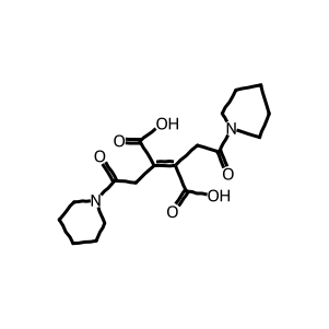 O=C(O)/C(CC(=O)N1CCCCC1)=C(\CC(=O)N1CCCCC1)C(=O)O